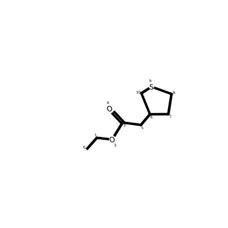 CCOC(=O)CC1CCSC1